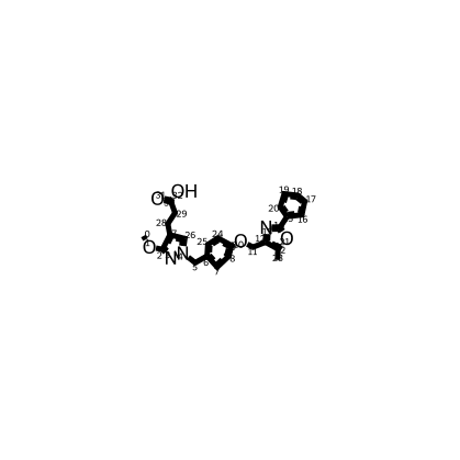 COc1nn(Cc2ccc(OCc3nc(-c4ccccc4)oc3C)cc2)cc1CCC(=O)O